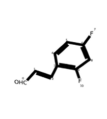 O=CC=Cc1ccc(F)cc1F